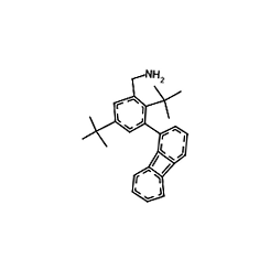 CC(C)(C)c1cc(CN)c(C(C)(C)C)c(-c2cccc3c2=c2ccccc2=3)c1